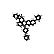 c1ccc(-c2ccc(N(c3ccc4cc(-c5ccccc5)ccc4c3)c3cccc4c3ccc3oc5cccnc5c34)cc2)cc1